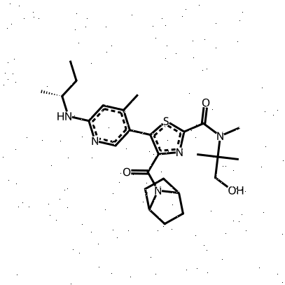 CC[C@@H](C)Nc1cc(C)c(-c2sc(C(=O)N(C)C(C)(C)CO)nc2C(=O)N2C3CCC2CC3)cn1